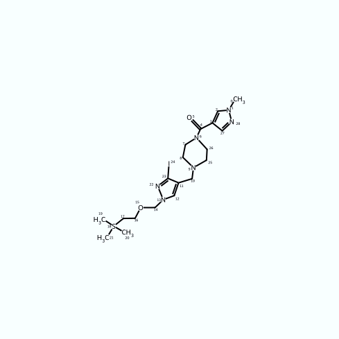 Cn1cc(C(=O)N2CCN(Cc3cn(COCCS(C)(C)C)nc3I)CC2)cn1